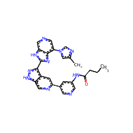 CCCC(=O)Nc1cncc(-c2cc3c(-c4nc5c(-n6cnc(C)c6)cncc5[nH]4)n[nH]c3cn2)c1